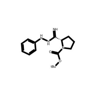 CC(C)(C)OC(=O)N1CCC[C@H]1C(=N)NNc1ccccc1